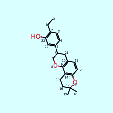 CCc1ccc(C2COc3c(ccc4c3CCC(C)(C)O4)C2)cc1O